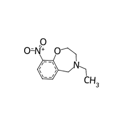 CCN1CCOc2c(cccc2[N+](=O)[O-])C1